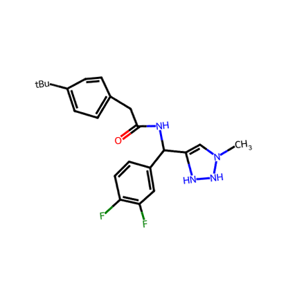 CN1C=C(C(NC(=O)Cc2ccc(C(C)(C)C)cc2)c2ccc(F)c(F)c2)NN1